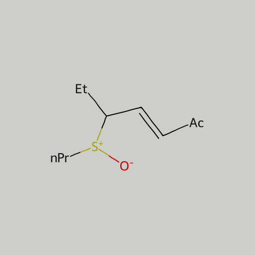 CCC[S+]([O-])C(/C=C/C(C)=O)CC